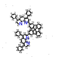 c1ccc(-c2ccnc3c2ccc2c(-c4ccccc4)cc(-c4ccc(C5(c6ccc(-c7cc(-c8ccccc8)c8ccc9c(-c%10ccccc%10)ccnc9c8n7)cc6)c6ccccc6-c6ccccc65)cc4)nc23)cc1